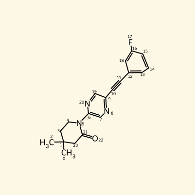 CC1(C)CCN(c2cnc(C#Cc3cccc(F)c3)cn2)C(=O)C1